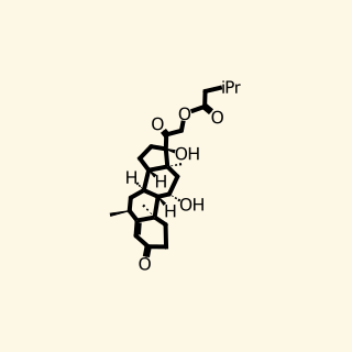 CC(C)CC(=O)OCC(=O)[C@@]1(O)CC[C@H]2[C@@H]3C[C@H](C)C4=CC(=O)CC[C@]4(C)[C@H]3[C@@H](O)C[C@@]21C